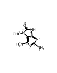 Nc1nc(N)c2c(n1)[nH]c(=O)n2C=O